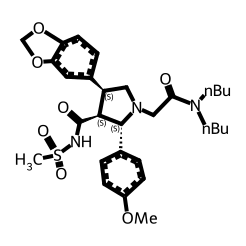 CCCCN(CCCC)C(=O)CN1C[C@H](c2ccc3c(c2)OCO3)[C@H](C(=O)NS(C)(=O)=O)[C@H]1c1ccc(OC)cc1